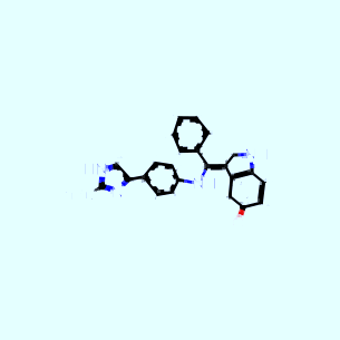 CCCCc1nc(-c2ccc(NC(=C3CNC4=C3CC(=O)C=C4)c3ccccc3)cc2)c[nH]1